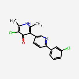 Cc1[nH]c(C)c(-c2ccc(-c3cccc(Cl)c3)nc2)c(=O)c1Cl